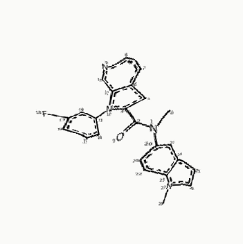 CN(C(=O)c1cc2ccncc2n1-c1cccc(F)c1)c1ccc2c(ccn2C)c1